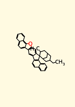 CCC1CC2CC(C)C3(c4cc5oc6c7ccccc7ccc6c5cc4-c4ccc5ccccc5c43)C(C1)C2